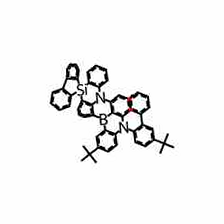 Cc1cc2c3c(c1)N1c4ccccc4[Si]4(c5ccccc5-c5ccccc54)c4cccc(c41)B3c1cc(C(C)(C)C)ccc1N2c1ccc(C(C)(C)C)cc1-c1ccccc1